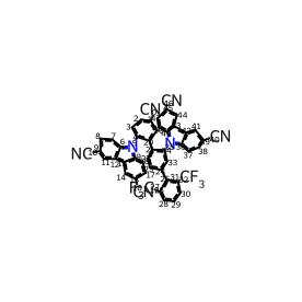 N#Cc1ccc(-n2c3ccc(C#N)cc3c3cc(C#N)ccc32)c(-c2ccc(-c3c(C(F)(F)F)cccc3C(F)(F)F)cc2-n2c3ccc(C#N)cc3c3cc(C#N)ccc32)c1